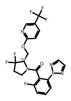 O=C(c1c(F)cccc1-n1nccn1)N1CCC(F)(F)[C@H]1COc1ccc(C(F)(F)F)cn1